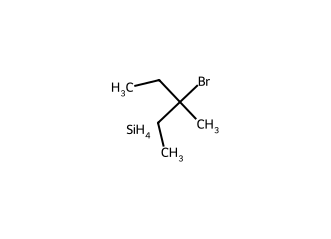 CCC(C)(Br)CC.[SiH4]